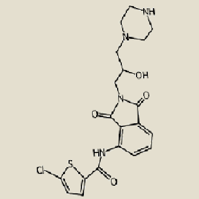 O=C(Nc1cccc2c1C(=O)N(CC(O)CN1CCNCC1)C2=O)c1ccc(Cl)s1